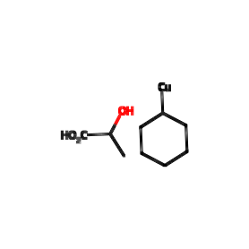 CC(O)C(=O)O.[Cu][CH]1CCCCC1